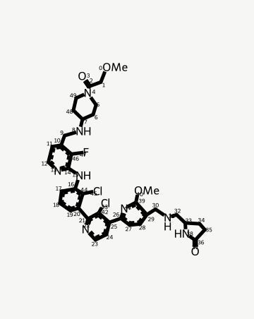 COCC(=O)N1CCC(NCc2ccnc(Nc3cccc(-c4nccc(-c5ccc(CNCC6CCC(=O)N6)c(OC)n5)c4Cl)c3Cl)c2F)CC1